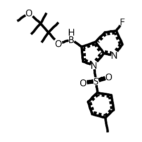 COC(C)(C)C(C)(C)OBc1cn(S(=O)(=O)c2ccc(C)cc2)c2ncc(F)cc12